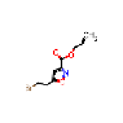 C=CCOC(=O)c1cc(CCBr)on1